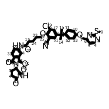 CSc1nccc(COc2ccc(C(C)(C)c3cc(Cl)c(OCCCCC(=O)Nc4ccc5c(c4)C(=O)N(C4CCC(=O)NC4=O)C5=O)c(C#N)c3)cc2)n1